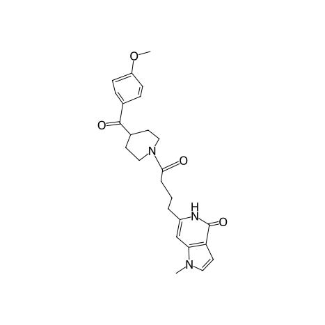 COc1ccc(C(=O)C2CCN(C(=O)CCCc3cc4c(ccn4C)c(=O)[nH]3)CC2)cc1